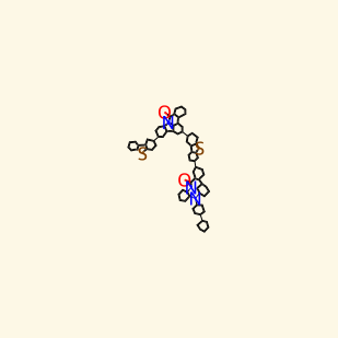 O=c1c2cc(-c3ccc4c(c3)sc3ccc(-c5cc6c7ccccc7c(=O)n7c8ccc(-c9ccc%10sc%11ccccc%11c%10c9)cc8c(c5)c67)cc34)ccc2c2cccc3c2n1-c1ccccc1N3c1ccc(-c2ccccc2)cc1